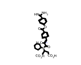 C/C(=C\c1ccc(C(=O)Oc2ccc(C(=N)N)cc2)cc1)C(=O)N(C1CCCCC1)C(CC(=O)O)CC(=O)O